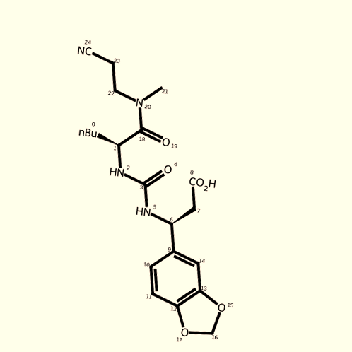 CCCC[C@H](NC(=O)N[C@@H](CC(=O)O)c1ccc2c(c1)OCO2)C(=O)N(C)CCC#N